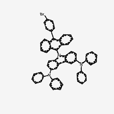 Brc1ccc(-c2c3ccccc3c(-n3c4ccc(N(c5ccccc5)c5ccccc5)cc4c4cc(N(c5ccccc5)c5ccccc5)ccc43)c3ccccc23)cc1